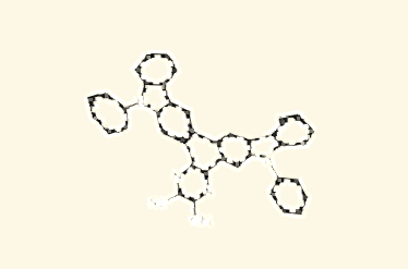 N#Cc1nc2c3cc4c(cc3c3cc5c6ccccc6n(-c6ccccc6)c5cc3c2nc1C#N)c1ccccc1n4-c1ccccc1